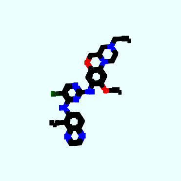 CCN1CCN2c3cc(OC)c(Nc4ncc(Br)c(Nc5ccc6nccnc6c5C)n4)cc3OCC2C1